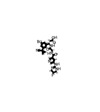 N#CC1(c2cc(Br)cc([C@H](CC(=O)O)NC(=O)CNC(=O)c3cncc(NC4=NCC(F)CN4)c3)c2)CC1